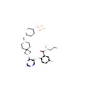 CCS(=O)(=O)N[C@@H]1CC[C@@H](CN2CCC3(CC2)CN(c2ncncc2Oc2ccc(F)cc2C(=O)N(CCC#N)C(C)C)C3)OC1